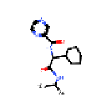 CC(=O)C(NC(=O)C(NC(=O)c1cnccn1)C1CCCCC1)C(C)(C)C